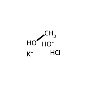 CO.Cl.[K+].[OH-]